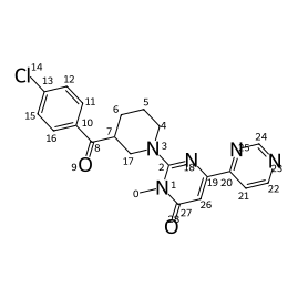 Cn1c(N2CCCC(C(=O)c3ccc(Cl)cc3)C2)nc(-c2ccncn2)cc1=O